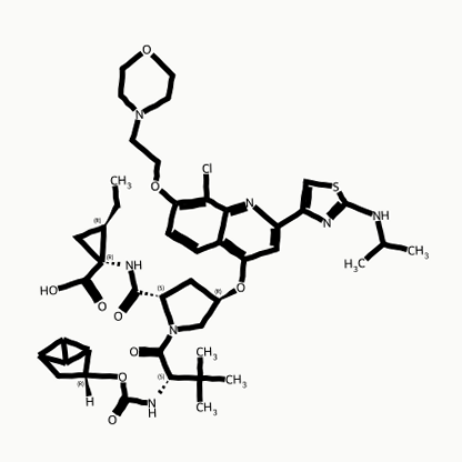 CC[C@@H]1C[C@]1(NC(=O)[C@@H]1C[C@@H](Oc2cc(-c3csc(NC(C)C)n3)nc3c(Cl)c(OCCN4CCOCC4)ccc23)CN1C(=O)[C@@H](NC(=O)O[C@@H]1CC2C3C2C31)C(C)(C)C)C(=O)O